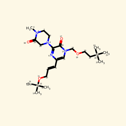 CN1CCN(c2nc(C=CCO[Si](C)(C)C(C)(C)C)cn(COCC[Si](C)(C)C)c2=O)CC1=O